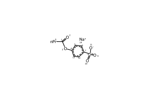 CCCC(=O)Oc1ccc(S(=O)(=O)[O-])cc1.[Na+]